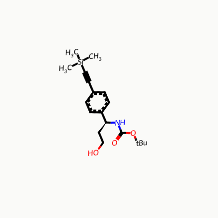 CC(C)(C)OC(=O)N[C@@H](CCO)c1ccc(C#C[Si](C)(C)C)cc1